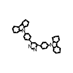 c1ccc2c(c1)c1ccccc1n2-c1ccc(-c2cc(-c3ccc(-n4c5ccccc5c5ccccc54)cc3)ncn2)cc1